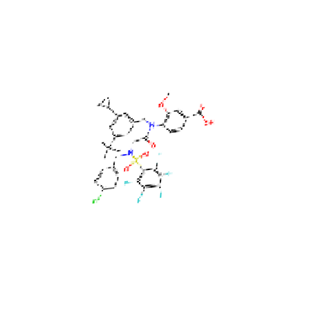 COc1cc(C(=O)O)ccc1N(Cc1cc(C2CC2)cc(C(C)(C)C)c1)C(=O)CN(Cc1ccc(Cl)cc1)S(=O)(=O)c1c(F)c(F)c(F)c(F)c1F